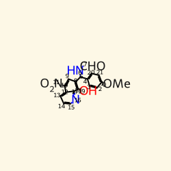 COc1ccc(C(NC=O)c2cc([N+](=O)[O-])c3cccnc3c2O)cc1